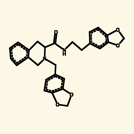 O=C(NCCc1ccc2c(c1)OCO2)C1Cc2ccccc2CN1Cc1ccc2c(c1)OCO2